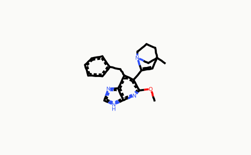 COc1nc2[nH]cnc2c(Cc2ccccc2)c1C1=CC2(C)CCCN1C2